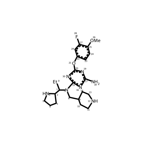 CCC(C1CCCN1)N(CC1CCNCC1)c1nc(N)nc(Oc2ccc(OC)c(F)c2)n1